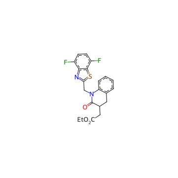 CCOC(=O)CC1Cc2ccccc2N(Cc2nc3c(F)ccc(F)c3s2)C1=O